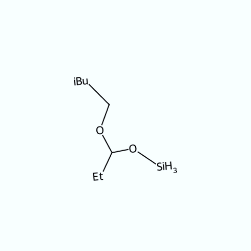 CCC(C)COC(CC)O[SiH3]